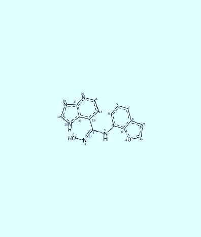 O/N=C(/Nc1cccc2ccoc12)c1ccnc2nc[nH]c12